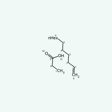 C=CCCCCCCCCCC.CCC(=O)O